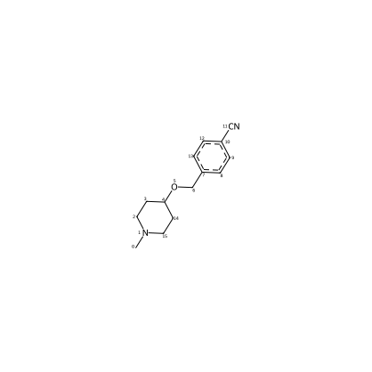 CN1CCC(OCc2ccc(C#N)cc2)CC1